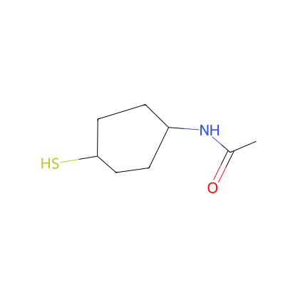 CC(=O)NC1CCC(S)CC1